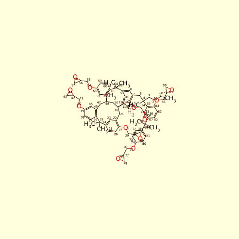 CCCCC(C)(Cc1cc2cc(c1OCC1CO1)C1(CC)Cc3cc(ccc3OCC3CO3)C(C)(C)c3ccc(OCC4CO4)cc3CC(C)(C1)c1cc(OCC3CO3)ccc1C2(C)C)c1cc(C(C)(C)c2ccc(OCC3CO3)cc2)ccc1OCC1CO1